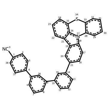 N#Cc1ccc(-c2cccc(-c3cccc(-c4ccc5c(c4)c4cccc6c4n5-c4ccccc4S6)c3)c2)cc1